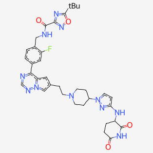 CC(C)(C)c1nc(C(=O)NCc2ccc(-c3ncnn4cc(CCN5CCC(n6ccc(NC7CCC(=O)NC7=O)n6)CC5)cc34)cc2F)no1